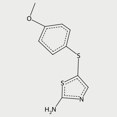 COc1ccc(Sc2cnc(N)s2)cc1